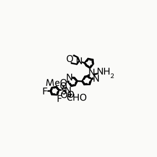 COc1ncc(-c2ccc3nc(N)n(-c4cccc(N5CCOCC5)c4)c3c2)cc1N(OC=O)S(=O)(=O)c1ccc(F)cc1F